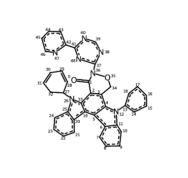 O=C1c2c(c3c(c4ccccc4n3-c3ccccc3)c3c4ccccc4n(C4C=CC=CC4)c23)CON1c1ncnc(-c2ccccn2)n1